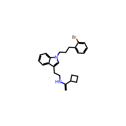 C=C(NCCc1cn(CCCc2ccccc2Br)c2ccccc12)C1CCC1